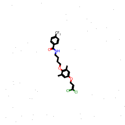 Cc1cc(OCC=C(Cl)Cl)cc(C)c1OCCCCNC(=O)c1ccc(C(F)(F)F)cc1